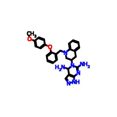 COc1ccc(Oc2ccccc2CN2CC(N3C(N)=Nc4[nH]ncc4C3N)Cc3ccccc32)cc1